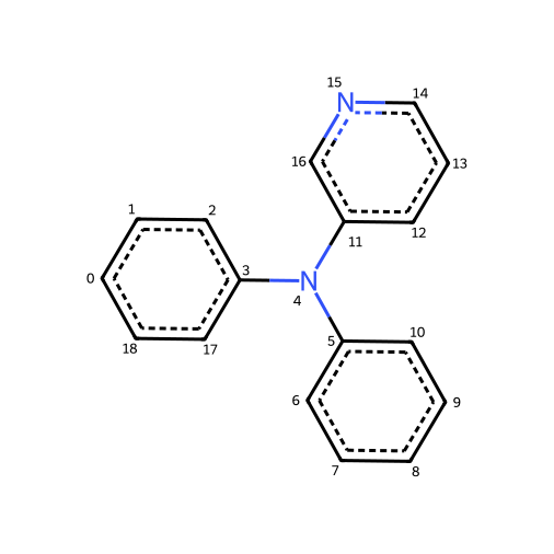 c1ccc(N(c2ccccc2)c2cccnc2)cc1